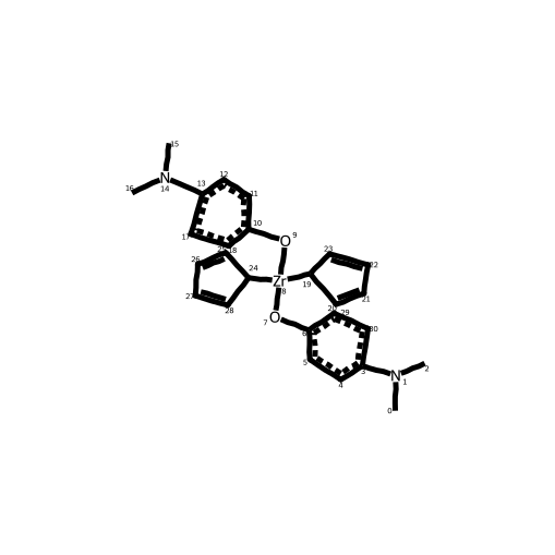 CN(C)c1ccc([O][Zr]([O]c2ccc(N(C)C)cc2)([CH]2C=CC=C2)[CH]2C=CC=C2)cc1